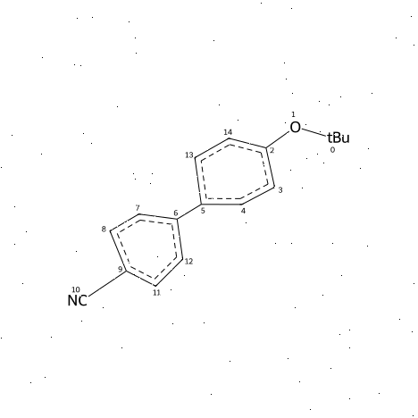 CC(C)(C)Oc1ccc(-c2ccc(C#N)cc2)cc1